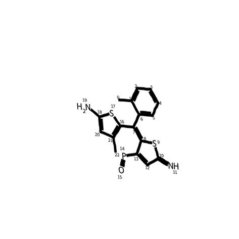 Cc1ccccc1/C(=C1\SC(=N)C=C1P=O)c1sc(N)cc1C